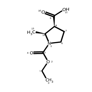 CCOC(=O)N1CC[C@H](C(=O)O)[C@@H]1C